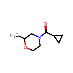 CC1CN(C(=O)C2CC2)CCO1